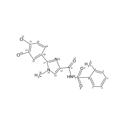 Cc1ccccc1S(=O)(=O)NC(=O)c1cn(C)c(-c2ccc(Cl)c(Cl)c2)n1